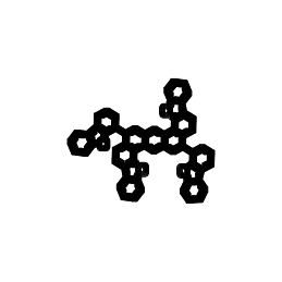 c1ccc2c(c1)oc1c(-c3cc4cc5c(cc(-c6cccc7c6oc6ccccc67)c6ccc7c8ccccc8oc7c65)cc4c4c3ccc3c5ccccc5oc34)cccc12